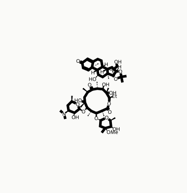 CC1(C)O[C@@H]2C[C@H]3[C@@H]4CCC5=CC(=O)C=C[C@]5(C)[C@H]4[C@@H](O)C[C@]3(C)[C@]2(C(=O)CO)O1.CC[C@H]1OC(=O)[C@H](C)[C@@H](O[C@H]2C[C@@](C)(OC)[C@@H](O)[C@H](C)O2)[C@H](C)[C@@H](O[C@@H]2O[C@H](C)C[C@H](N(C)C)[C@H]2O)[C@](C)(O)C[C@@H](C)C(=O)[C@H](C)[C@@H](O)[C@]1(C)O